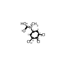 CN(C(=O)O)c1cc(Cl)c(Cl)c(Cl)c1